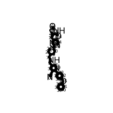 N#Cc1cc(CNCC2CCN(c3nccc(C=C4SC(=O)NC4=O)n3)CC2)cnc1-c1ccc(Oc2ccccc2)cc1